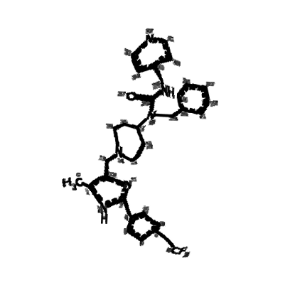 Cc1[nH]c(-c2ccc(C(F)(F)F)cc2)nc1CN1CCC(N(Cc2ccccc2)C(=O)Nc2ccncc2)CC1